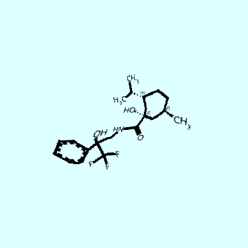 CC(C)[C@@H]1CC[C@@H](C)C[C@@]1(O)C(=O)NCC(O)(c1ccccc1)C(F)(F)F